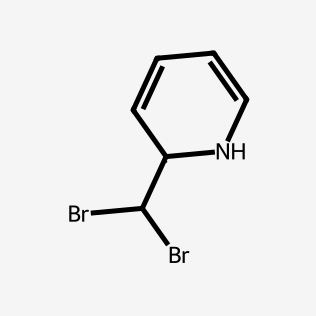 BrC(Br)[C]1C=CC=CN1